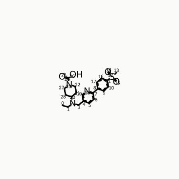 CCN(Cc1ccc(-c2ccc(S(C)(=O)=O)cc2)nc1)C1CCN(C(=O)O)CC1